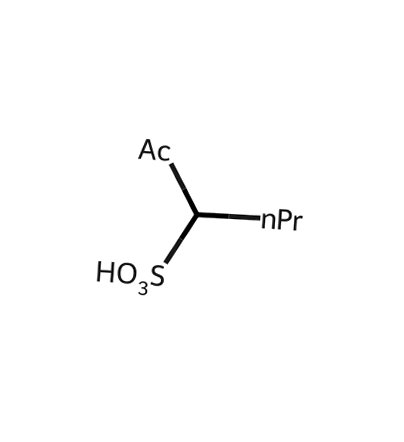 [CH2]CCC(C(C)=O)S(=O)(=O)O